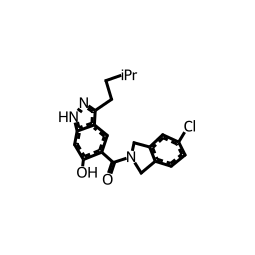 CC(C)CCc1n[nH]c2cc(O)c(C(=O)N3Cc4ccc(Cl)cc4C3)cc12